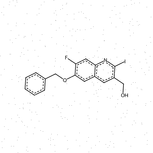 OCc1cc2cc(OCc3ccccc3)c(F)cc2nc1I